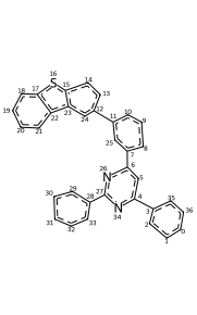 c1ccc(-c2cc(-c3cccc(-c4ccc5sc6ccccc6c5c4)c3)nc(-c3ccccc3)n2)cc1